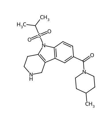 CC1CCN(C(=O)c2ccc3c(c2)c2c(n3S(=O)(=O)C(C)C)CCNC2)CC1